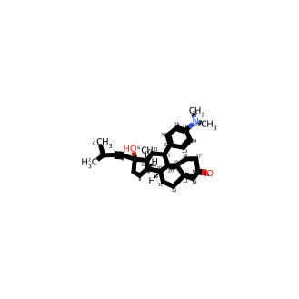 CC(C)C#CC1(O)CC[C@H]2[C@@H]3CCC4=CC(=O)CCC4=C3C(c3ccc(N(C)C)cc3)C[C@@]21C